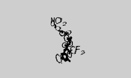 Cc1cc(Cl)cc2c1O[C@H](C(F)(F)F)C(C(=O)OC(C)OC(=O)OCCOCCO[N+](=O)[O-])=C2